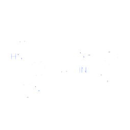 C1=CCCC(C2=C(c3ccccc3)C(C3C=CC=CC3)=NC(C3=CCC(c4cc(C5=CC=CCN5)cc(-c5ccccn5)c4)C=C3)N2)=C1